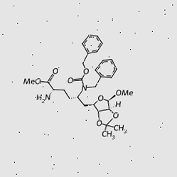 COC(=O)[C@@H](N)CC[C@@H](C[C@H]1O[C@@H](OC)[C@H]2OC(C)(C)OC12)N(Cc1ccccc1)C(=O)OCc1ccccc1